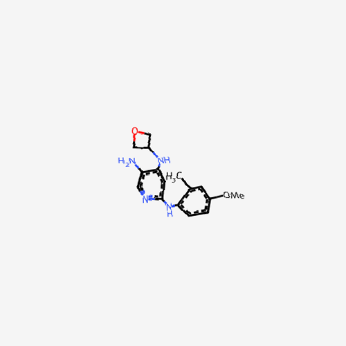 COc1ccc(Nc2cc(NC3COC3)c(N)cn2)c(C)c1